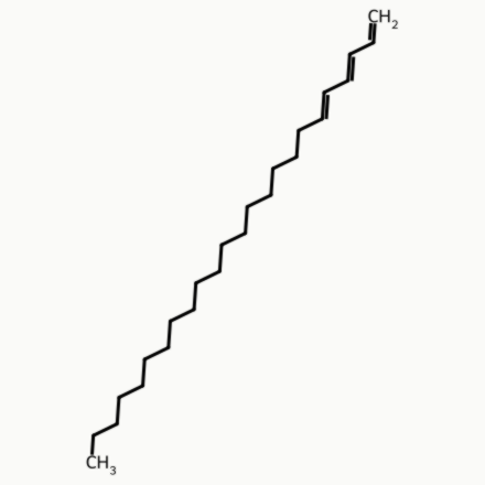 C=CC=CC=CCCCCCCCCCCCCCCCCCC